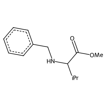 COC(=O)C(NCc1ccccc1)C(C)C